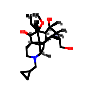 C#CC1=C(/C=C\CO)C[C@@H]2C3C[C@H]([C@](C)(O)C(C)(C)C)C(CC)(OC)[C@H](O)[C@]13CCN2CC1CC1